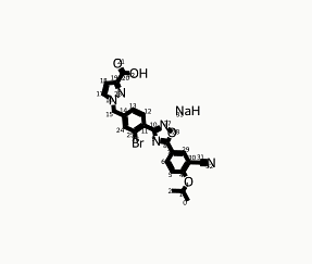 CC(C)Oc1ccc(-c2nc(-c3ccc(Cn4ccc(C(=O)O)n4)cc3Br)no2)cc1C#N.[NaH]